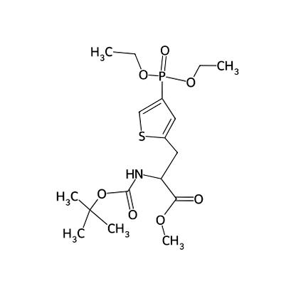 CCOP(=O)(OCC)c1csc(CC(NC(=O)OC(C)(C)C)C(=O)OC)c1